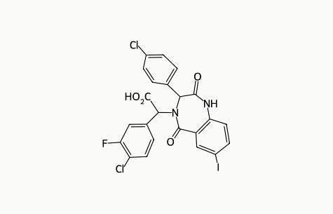 O=C(O)C(c1ccc(Cl)c(F)c1)N1C(=O)c2cc(I)ccc2NC(=O)C1c1ccc(Cl)cc1